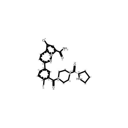 NC(=O)c1cc(Cl)c2ccc(-c3ccc(F)c(C(=O)N4CCN(C(=O)[C@@H]5CCCN5)CC4)c3)nn12